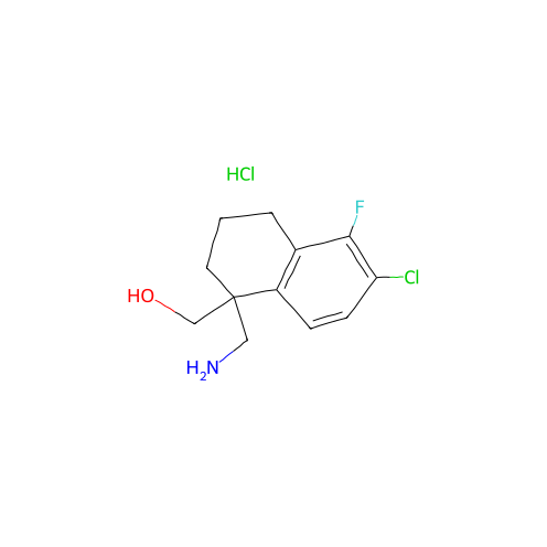 Cl.NCC1(CO)CCCc2c1ccc(Cl)c2F